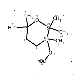 CCCCO[Si]1(C)CCC(C)(C)O[Si]1(C)C